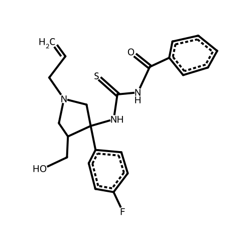 C=CCN1CC(CO)C(NC(=S)NC(=O)c2ccccc2)(c2ccc(F)cc2)C1